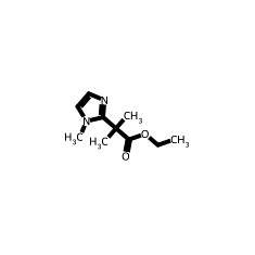 CCOC(=O)C(C)(C)c1nccn1C